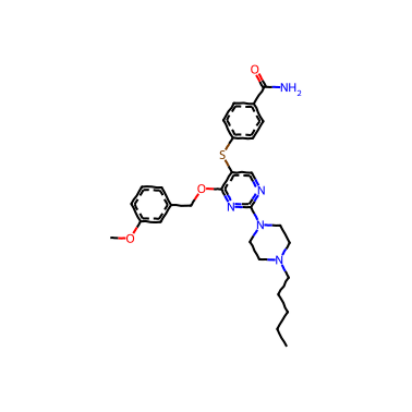 CCCCCN1CCN(c2ncc(Sc3ccc(C(N)=O)cc3)c(OCc3cccc(OC)c3)n2)CC1